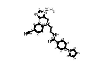 Cn1cncc1CN(CCNC(=O)c1ccc(-n2cccc2)cc1)c1ccc(C#N)cc1